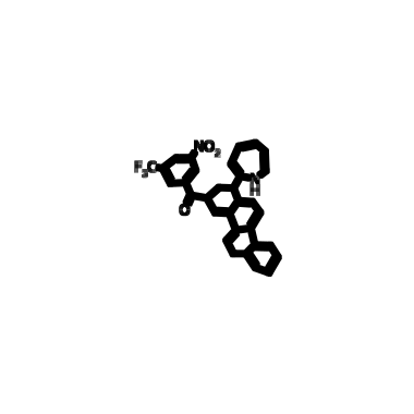 O=C(c1cc([N+](=O)[O-])cc(C(F)(F)F)c1)C1C=c2c(ccc3c2=CCc2ccccc2-3)C(C2=CC=CC=CN2)C1